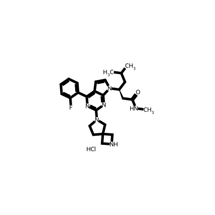 CNC(=O)C[C@H](CC(C)C)n1ccc2c(-c3ccccc3F)nc(N3CCC4(CNC4)C3)nc21.Cl